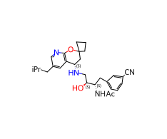 CC(=O)N[C@@H](Cc1cccc(C#N)c1)[C@@H](O)CN[C@H]1CC2(CCC2)Oc2ncc(CC(C)C)cc21